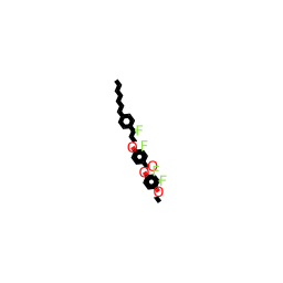 CCCCCCCC1CCC(C(F)CCOc2ccc(C(=O)Oc3ccc(OCC)c(F)c3F)cc2F)CC1